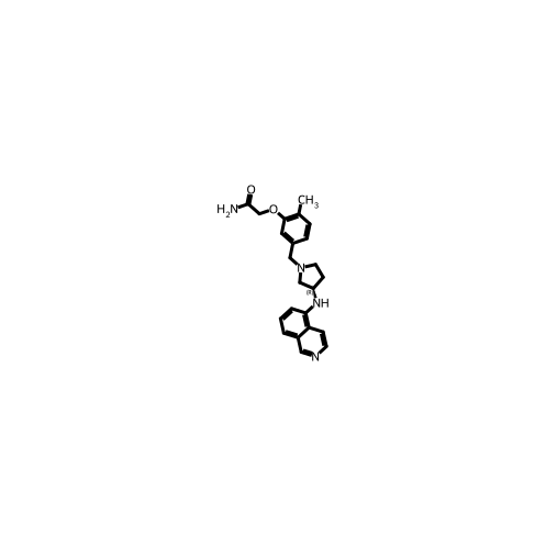 Cc1ccc(CN2CC[C@@H](Nc3cccc4cnccc34)C2)cc1OCC(N)=O